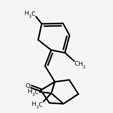 CC1=CC=C(C)C(=CC23CCC(CC2=O)C3(C)C)C1